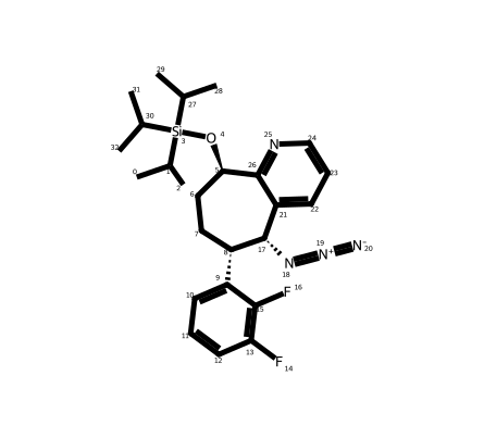 CC(C)[Si](O[C@@H]1CC[C@@H](c2cccc(F)c2F)[C@@H](N=[N+]=[N-])c2cccnc21)(C(C)C)C(C)C